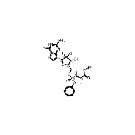 CC(C)OC(=O)[C@H](C)N[P@@](=O)(OC[C@H]1O[C@@H](n2cnc3c(=O)[nH]c(N)nc32)[C@](F)(Cl)[C@@H]1O)Oc1ccccc1